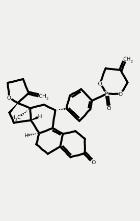 C=C1COP(=O)(c2ccc([C@H]3C[C@@]4(C)[C@@H](CC[C@]45OCCC5=C)[C@@H]4CCC5=CC(=O)CCC5=C43)cc2)OC1